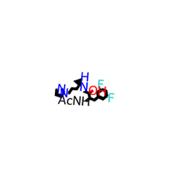 CC(=O)NC(Cc1cc(F)cc(F)c1)C(O)CNC1(CCCn2cccn2)CC1